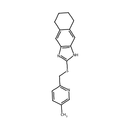 Cc1ccc(CSc2nc3cc4c(cc3[nH]2)CCCC4)nc1